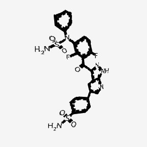 NS(=O)(=O)c1ccc(-c2cnc3[nH]nc(C(=O)c4c(F)ccc(N(c5ccccc5)S(N)(=O)=O)c4F)c3c2)cc1